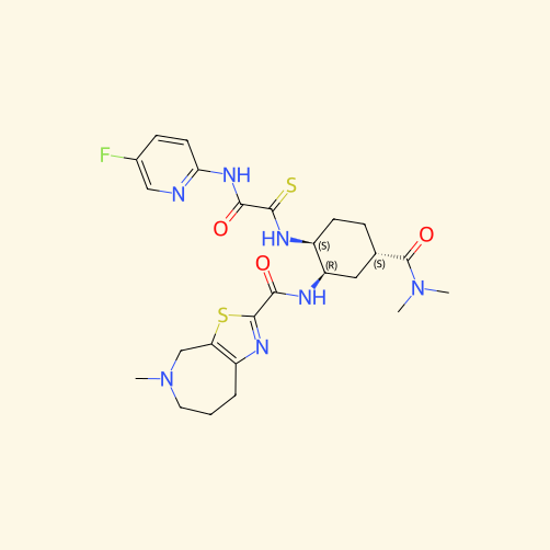 CN1CCCc2nc(C(=O)N[C@@H]3C[C@@H](C(=O)N(C)C)CC[C@@H]3NC(=S)C(=O)Nc3ccc(F)cn3)sc2C1